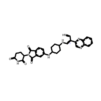 N=C/C(=C\NC1CCC(Nc2ccc3c(c2)C(=O)N(C2CCC(=O)NC2=O)C3=O)CC1)c1cnc2ccccc2n1